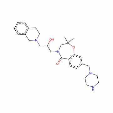 CC1(C)CN(CC(O)CN2CCc3ccccc3C2)C(=O)c2ccc(CN3CCNCC3)cc2O1